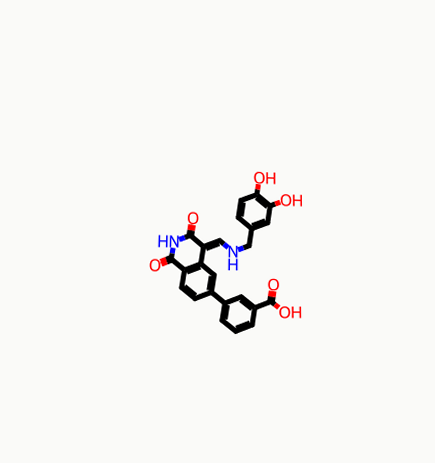 O=C1NC(=O)c2ccc(-c3cccc(C(=O)O)c3)cc2/C1=C\NCc1ccc(O)c(O)c1